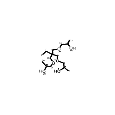 CCC(COCC(C)O)(COCC(C)O)COCC(C)O